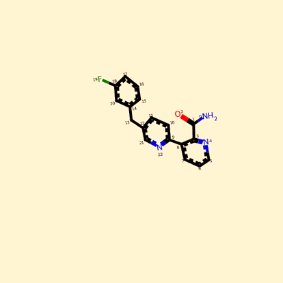 NC(=O)c1ncccc1-c1ccc(Cc2cccc(F)c2)cn1